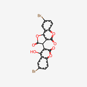 O=C1Oc2c(c(=O)oc3ccc(Br)cc23)C1c1c(O)c2cc(Br)ccc2oc1=O